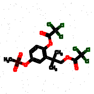 CC(C)(COC(=O)C(Cl)(Cl)Cl)c1cc(OS(C)(=O)=O)ccc1OC(=O)C(Cl)(Cl)Cl